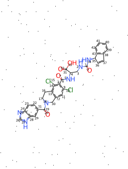 O=C(NCC(NC(=O)c1c(Cl)cc2c(c1Cl)CCN(C(=O)c1ccc3nc[nH]c3c1)C2)C(=O)O)N[C@@H]1C=Cc2ccccc21